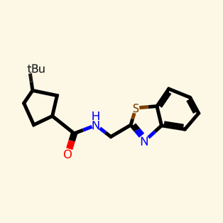 CC(C)(C)C1CCC(C(=O)NCc2nc3ccccc3s2)C1